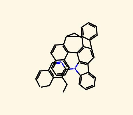 C/C=C\c1cnc(-n2c3ccccc3c3cc4c5c(c32)-c2c(ccc3ccccc23)C(CC5)c2ccccc2-4)c(CC)c1CC